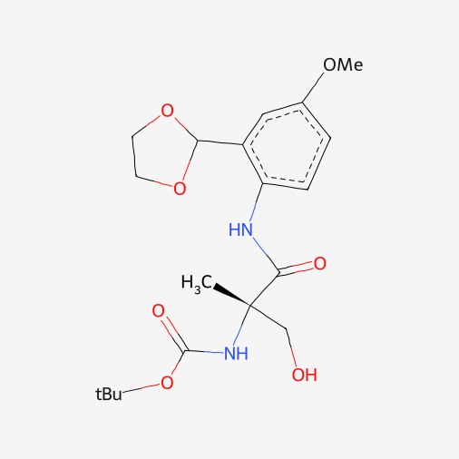 COc1ccc(NC(=O)[C@](C)(CO)NC(=O)OC(C)(C)C)c(C2OCCO2)c1